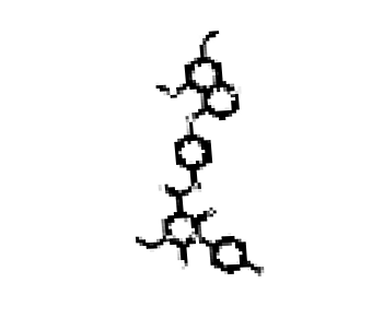 CCn1cc(C(=O)Nc2ccc(Oc3ccnc4cc(OC)cc(OC)c34)cc2)c(=O)n(-c2ccc(F)cc2)c1=O